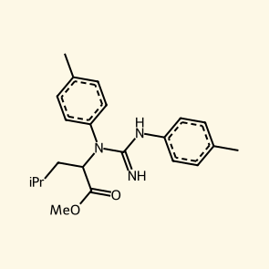 COC(=O)C(CC(C)C)N(C(=N)Nc1ccc(C)cc1)c1ccc(C)cc1